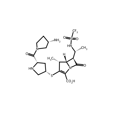 C[C@@H](NS(=O)(=O)C(F)(F)F)[C@H]1C(=O)N2C(C(=O)O)=C(S[C@@H]3CN[C@H](C(=O)N4CC[C@H](N)C4)C3)[C@H](C)[C@H]12